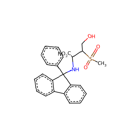 CS(=O)(=O)C(CO)C(NC1(c2ccccc2)c2ccccc2-c2ccccc21)C(=O)O